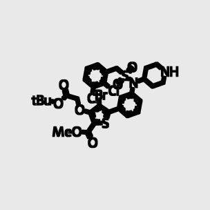 COC(=O)c1sc(-c2cccc(N(C3CCNCC3)S(=O)(=O)Cc3cccc(Cl)c3Cl)c2)c(Br)c1OCC(=O)OC(C)(C)C